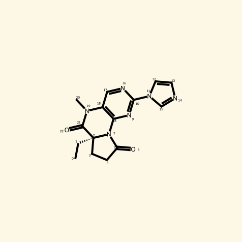 CC[C@@]12CCC(=O)N1c1nc(-n3ccnc3)ncc1N(C)C2=O